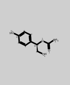 NC(=O)O[C@@H](CO)c1ccc(O)cc1